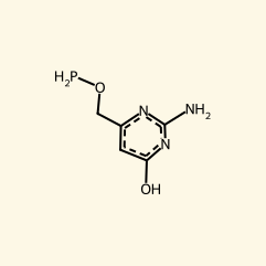 Nc1nc(O)cc(COP)n1